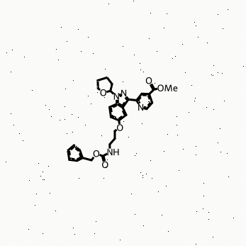 COC(=O)c1ccnc(-c2nn(C3CCCCO3)c3ccc(OCCCNC(=O)OCc4ccccc4)cc23)c1